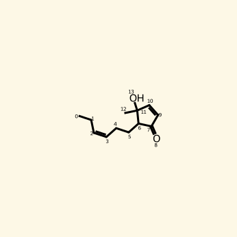 CC/C=C\CCC1C(=O)C=CC1(C)O